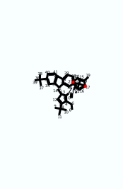 [CH2]=[Zr]([CH3])([C]1=C(CC)C(C(C)(C)C)=CC1C)([c]1ccc(C)cc1)[c]1c(C(C)(C)C)ccc2c1Cc1cc(C(C)(C)C)ccc1-2